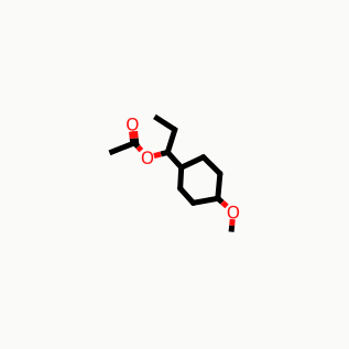 CCC(OC(C)=O)C1CCC(OC)CC1